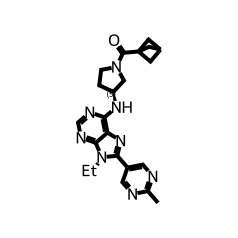 CCn1c(-c2cnc(C)nc2)nc2c(N[C@H]3CCN(C(=O)C45CC(C4)C5)C3)ncnc21